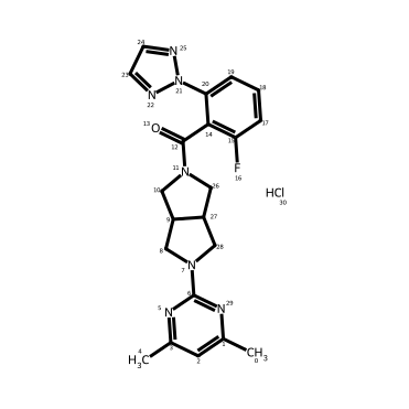 Cc1cc(C)nc(N2CC3CN(C(=O)c4c(F)cccc4-n4nccn4)CC3C2)n1.Cl